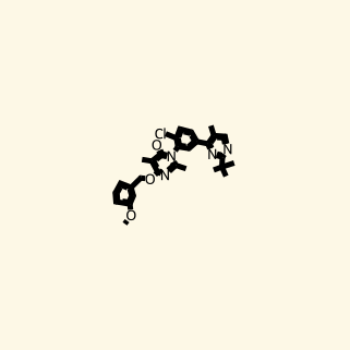 COc1cccc(COc2nc(C)n(-c3cc(-c4nc(C(C)(C)C)ncc4C)ccc3Cl)c(=O)c2C)c1